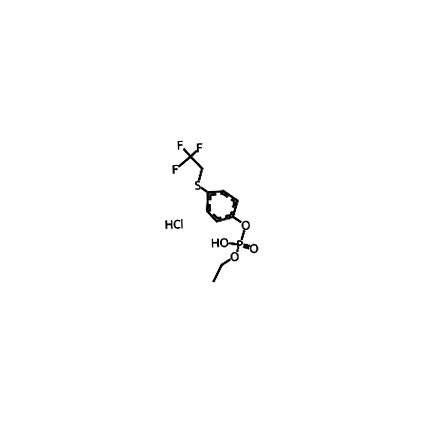 CCOP(=O)(O)Oc1ccc(SCC(F)(F)F)cc1.Cl